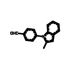 Cc1cc2ccccc2n1-c1ccc(C=O)cc1